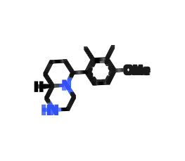 COc1ccc(C2CCC[C@H]3CNCCN23)c(C)c1C